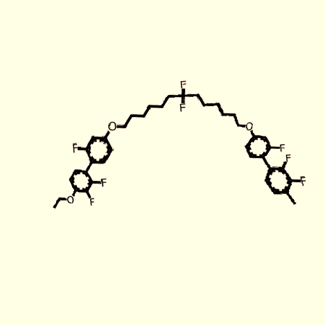 CCOc1ccc(-c2ccc(OCCCCCCC(F)(F)CCCCCCOc3ccc(-c4ccc(C)c(F)c4F)c(F)c3)cc2F)c(F)c1F